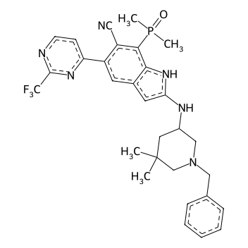 CC1(C)CC(Nc2cc3cc(-c4ccnc(C(F)(F)F)n4)c(C#N)c(P(C)(C)=O)c3[nH]2)CN(Cc2ccccc2)C1